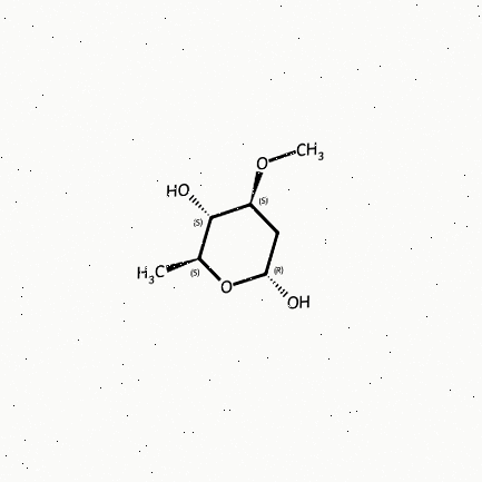 CO[C@H]1C[C@H](O)O[C@@H](C)[C@@H]1O